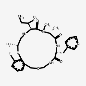 CCC(C)[C@@H]1NC[C@@H](C)Oc2c(F)cccc2CCCNC(=O)[C@@H](Cc2cccnc2)NC(=O)[C@@H](C)N(C)C1=O